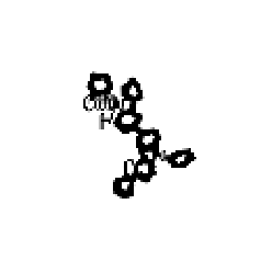 Oc1ccccc1Nn1c2ccccc2c2cc(-c3ccc4c(c3)c3c5oc6ccccc6c5ccc3n4-c3ccccc3)ccc21